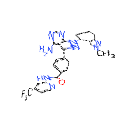 Cn1cc2c(n1)CCCC2n1nc(-c2ccc(C(=O)Nc3cc(C(F)(F)F)ccn3)cc2)c2c(N)ncnc21